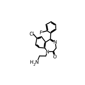 NCCN1C(=O)CN=C(c2ccccc2F)c2cc(Cl)ccc21